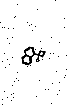 [O]C1(c2cccc3ccccc23)CCC1